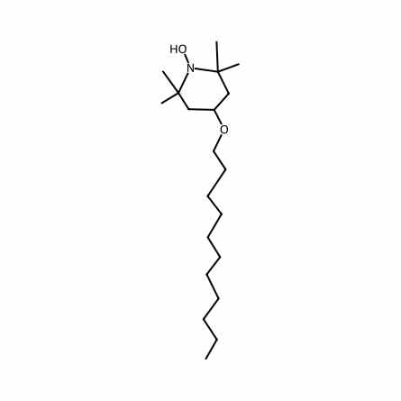 CCCCCCCCCCCOC1CC(C)(C)N(O)C(C)(C)C1